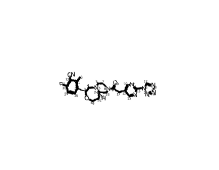 Cc1c([C@H]2CN3CCN(C(=O)Cc4cnc(-n5cnnn5)nc4)C[C@H]3CCO2)ccc(F)c1C#N